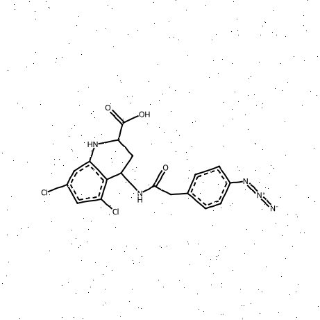 [N-]=[N+]=Nc1ccc(CC(=O)NC2CC(C(=O)O)Nc3cc(Cl)cc(Cl)c32)cc1